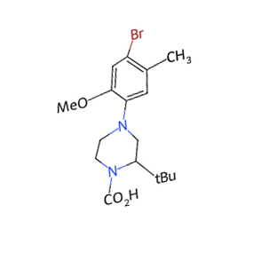 COc1cc(Br)c(C)cc1N1CCN(C(=O)O)C(C(C)(C)C)C1